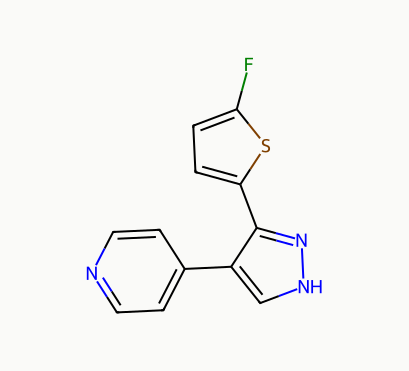 Fc1ccc(-c2n[nH]cc2-c2ccncc2)s1